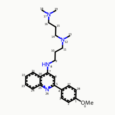 COc1ccc(-c2cc(NCCCN(C)CCCN(C)C)c3ccccc3n2)cc1